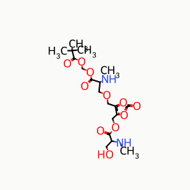 CNC(CO)C(=O)OCc1oc(=O)oc1COCC(NC)C(=O)OCOC(=O)C(C)(C)C